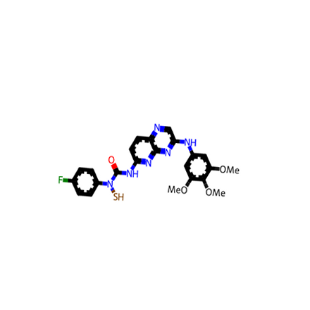 COc1cc(Nc2cnc3ccc(NC(=O)N(S)c4ccc(F)cc4)nc3n2)cc(OC)c1OC